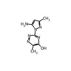 Cc1cc(N)n(-c2nnc(C)c(O)n2)n1